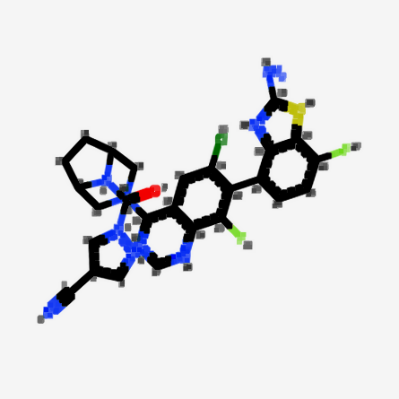 N#Cc1cnn(C(=O)N2C3CCC2CN(c2ncnc4c(F)c(-c5ccc(F)c6sc(N)nc56)c(Cl)cc24)C3)c1